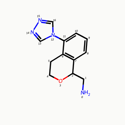 NCC1OCCc2c1cccc2-n1cnnc1